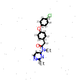 CCc1nccc(N(CC)C(=O)Cc2ccc(Oc3ccc(Cl)cc3)cc2)n1